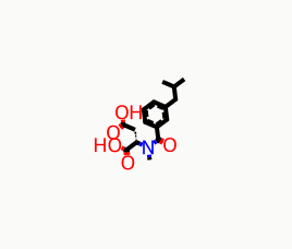 CC(C)Cc1cccc(C(=O)N(C)[C@@H](CC(=O)O)C(=O)O)c1